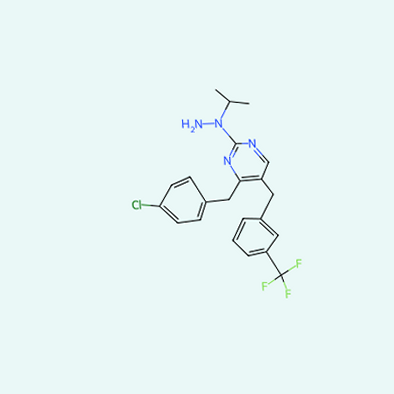 CC(C)N(N)c1ncc(Cc2cccc(C(F)(F)F)c2)c(Cc2ccc(Cl)cc2)n1